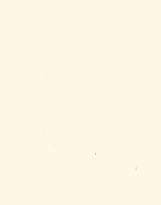 CC(C)CCC[C@@H](C)CCC[C@@H](C)CCCC(C)CCOc1cc([C]=O)cc(OCCC(C)CCC[C@H](C)CCC[C@H](C)CCCC(C)C)c1